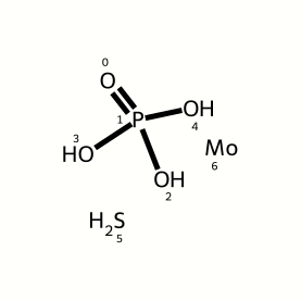 O=P(O)(O)O.S.[Mo]